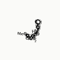 COc1ccc(C(N)c2ccc(OCC(=O)NCc3ccc(C4CCCCCCCCC4)cc3)cc2)c(OC)c1